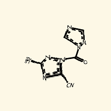 CC(C)c1nc(C#N)n(C(=O)n2cncn2)n1